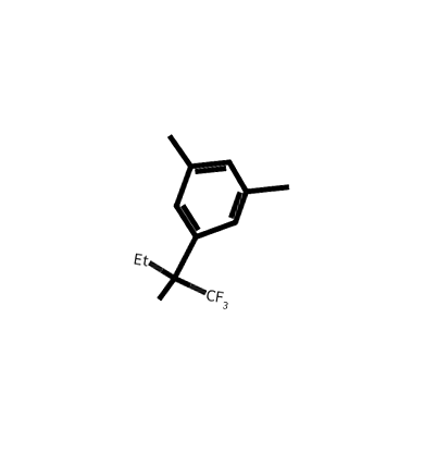 CCC(C)(c1cc(C)cc(C)c1)C(F)(F)F